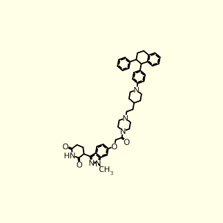 Cn1nc(C2CCC(=O)NC2=O)c2ccc(OCC(=O)N3CCN(CCC4CCN(c5ccc(C6c7ccccc7CCC6c6ccccc6)cc5)CC4)CC3)cc21